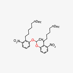 CCCCCCCCCCCCCCCc1c(OC(C)Oc2cccc([N+](=O)[O-])c2CCCCCCCCCCCCCCC)cccc1[N+](=O)[O-]